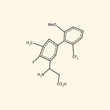 COc1cccc(C(F)(F)F)c1-c1cc(C)c(F)c(C(N)CC(=O)O)c1